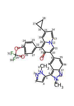 Cn1nccc1-c1c2cc(-c3cn4ccc(C5CC5)cc4c(-c4ccc5c(c4)OC(F)(F)O5)c3=O)ccc2nn1C